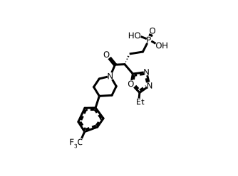 CCc1nnc([C@@H](CCP(=O)(O)O)C(=O)N2CCC(c3ccc(C(F)(F)F)cc3)CC2)o1